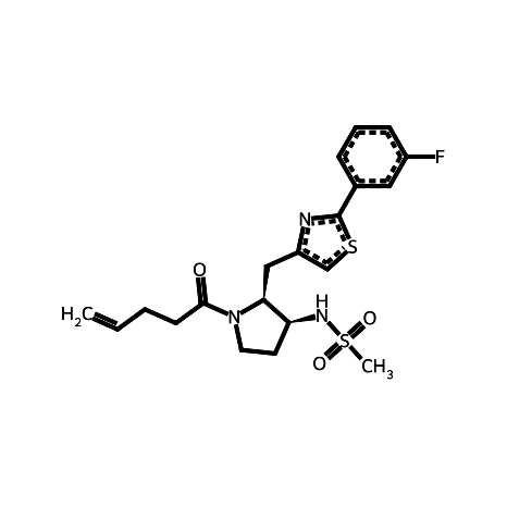 C=CCCC(=O)N1CC[C@H](NS(C)(=O)=O)[C@@H]1Cc1csc(-c2cccc(F)c2)n1